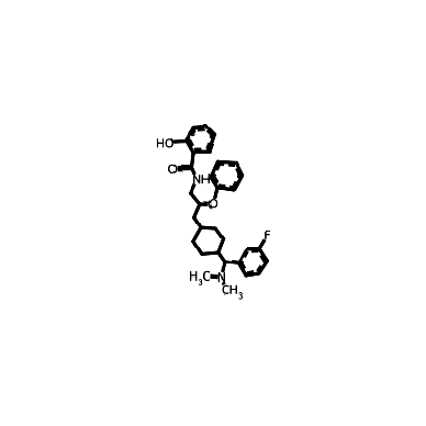 CN(C)C(c1cccc(F)c1)C1CCC(CC(CNC(=O)c2ccccc2O)Oc2ccccc2)CC1